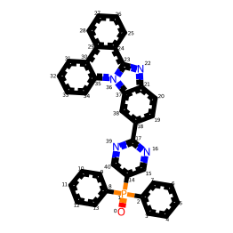 O=P(c1ccccc1)(c1ccccc1)c1cnc(-c2ccc3nc4c5ccccc5c5ccccc5n4c3c2)nc1